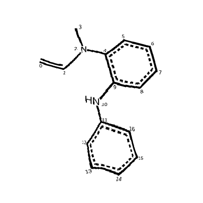 C=CN(C)c1ccccc1Nc1ccccc1